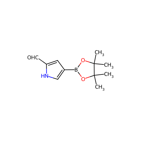 CC1(C)OB(c2c[nH]c(C=O)c2)OC1(C)C